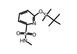 CNS(=O)(=O)c1cccc(O[Si](C)(C)C(C)(C)C)n1